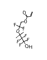 C=CC(=O)OCC(F)(F)OC(C)(C)C(F)(F)C(O)(F)F